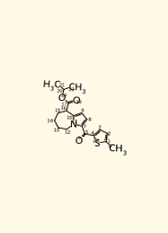 Cc1ccc(C(=O)c2ccc3n2CCCCC3C(=O)OC(C)C)s1